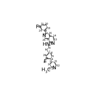 Cc1cc(-c2ccc(CCNc3nccc4cc(-c5cccc(F)c5)ncc34)cc2F)ccn1